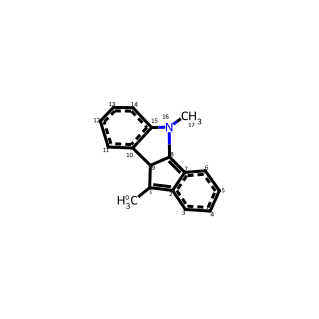 CC1=c2ccccc2=C2C1c1ccccc1N2C